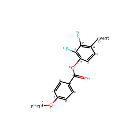 CCCCCCCOc1ccc(C(=O)Oc2ccc(CCCCC)c(F)c2F)cc1